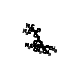 C=C(C)C(=O)OCC(CON(C)CC)OC(C)(C)C